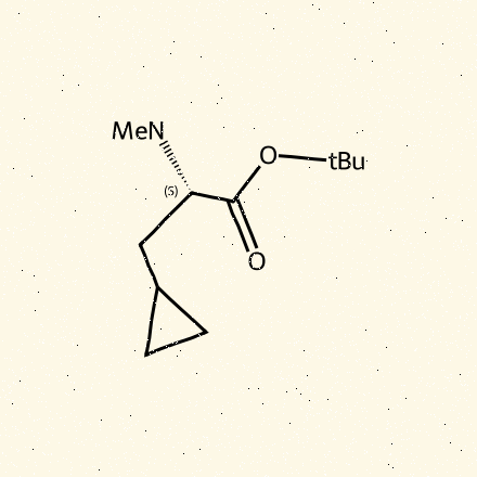 CN[C@@H](CC1CC1)C(=O)OC(C)(C)C